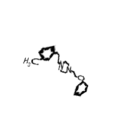 Cc1cccc(CCN2CCN(CCOc3ccccc3)CC2)c1